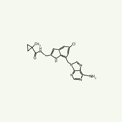 CC1(C(=O)NCc2cc3cc(Cl)cc(Cn4cnc5c(N)ncnc54)c3[nH]2)CC1